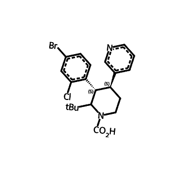 CC(C)(C)C1[C@H](c2ccc(Br)cc2Cl)[C@@H](c2cccnc2)CCN1C(=O)O